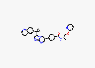 CC(COc1ccccn1)NC(=O)c1ccc(-c2cnc3ncc(C4(c5ccc6ncccc6c5)CC4)n3c2)cc1